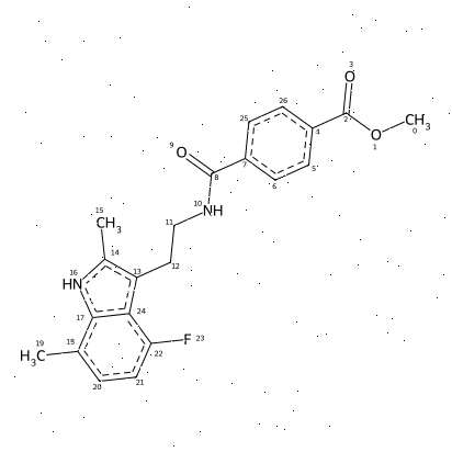 COC(=O)c1ccc(C(=O)NCCc2c(C)[nH]c3c(C)ccc(F)c23)cc1